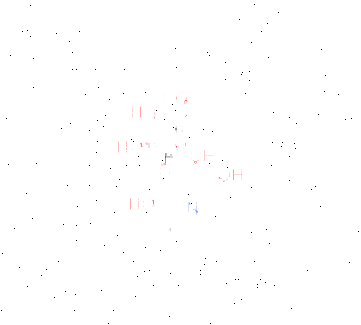 OC[C@H]1O[C@@H](OC2C(O)C(O)CN3CC[C@H](O)C23)[C@H](O)[C@@H]1O